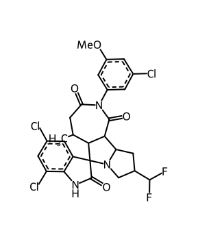 COc1cc(Cl)cc(N2C(=O)CC(C)C3C(C2=O)C2CC(C(F)F)CN2C32C(=O)Nc3c(Cl)cc(Cl)cc32)c1